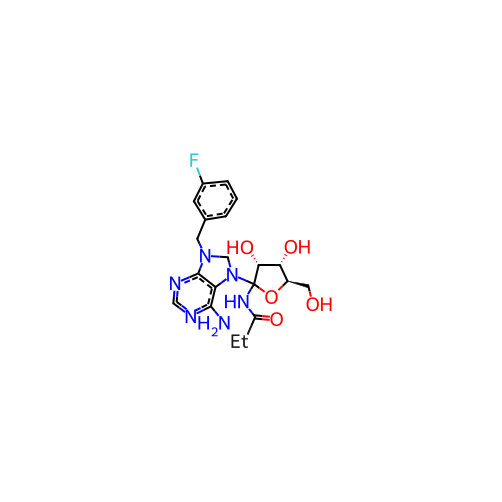 CCC(=O)NC1(N2CN(Cc3cccc(F)c3)c3ncnc(N)c32)O[C@H](CO)[C@@H](O)[C@H]1O